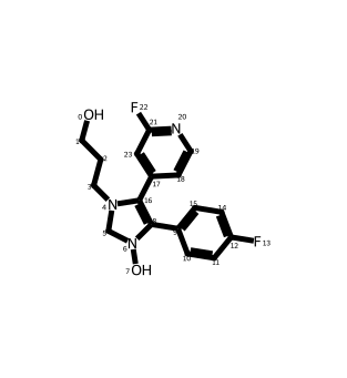 OCCCN1CN(O)C(c2ccc(F)cc2)=C1c1ccnc(F)c1